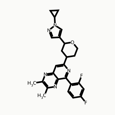 Cc1nc2cc(C3CCOC(c4cnn(C5CC5)c4)C3)nc(-c3ccc(F)cc3F)c2nc1C